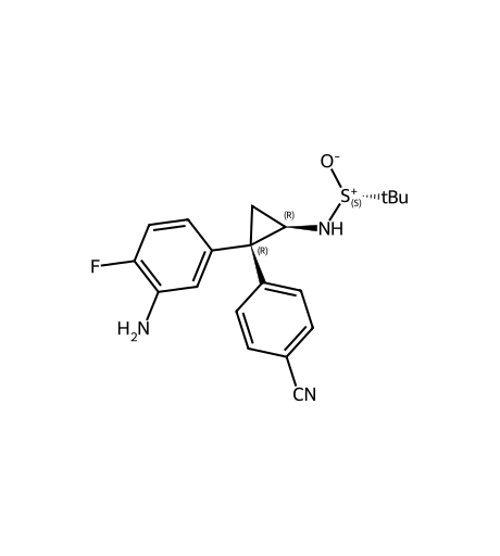 CC(C)(C)[S@@+]([O-])N[C@@H]1C[C@@]1(c1ccc(C#N)cc1)c1ccc(F)c(N)c1